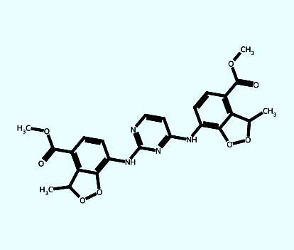 COC(=O)c1ccc(Nc2ccnc(Nc3ccc(C(=O)OC)c4c3OOC4C)n2)c2c1C(C)OO2